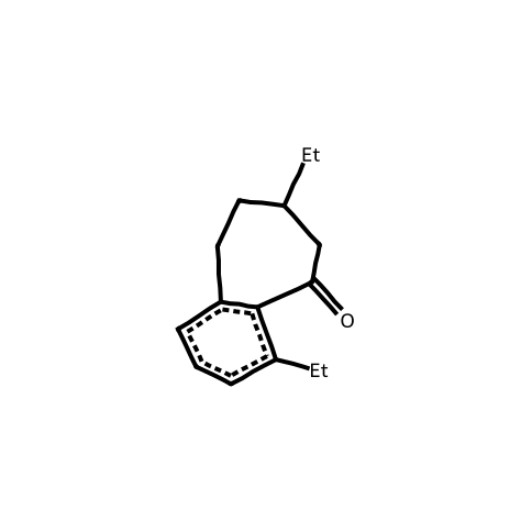 CCc1cccc2c1C(=O)CC(CC)CC2